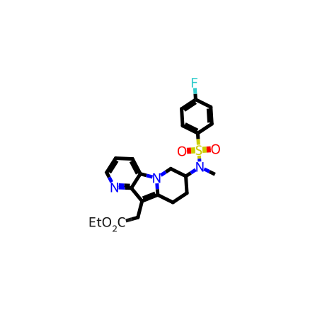 CCOC(=O)Cc1c2n(c3cccnc13)CC(N(C)S(=O)(=O)c1ccc(F)cc1)CC2